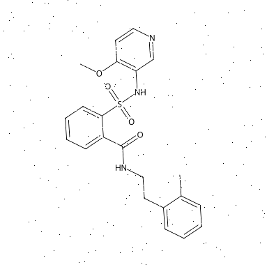 COc1ccncc1NS(=O)(=O)c1ccccc1C(=O)NCCc1ccccc1C